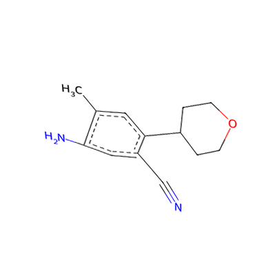 Cc1cc(C2CCOCC2)c(C#N)cc1N